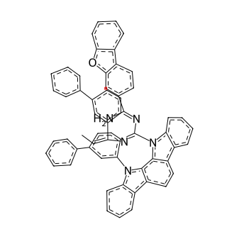 C/C=C(/N=C(\N=C(/N)c1ccc2c(c1)oc1ccccc12)n1c2ccccc2c2ccc3c4ccccc4n(-c4cccc(-c5ccccc5)c4)c3c21)c1cccc(-c2ccccc2)c1